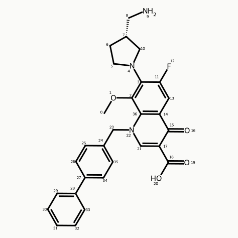 COc1c(N2CC[C@H](CN)C2)c(F)cc2c(=O)c(C(=O)O)cn(Cc3ccc(-c4ccccc4)cc3)c12